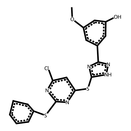 COc1cc(O)cc(-c2n[nH]c(Sc3cc(Cl)nc(Sc4ccccc4)n3)n2)c1